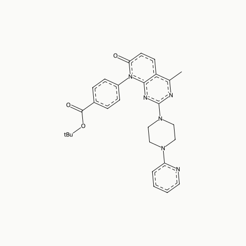 Cc1nc(N2CCN(c3ccccn3)CC2)nc2c1ccc(=O)n2-c1ccc(C(=O)OC(C)(C)C)cc1